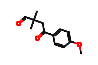 COc1ccc(C(=O)CC(C)(C)C=O)cc1